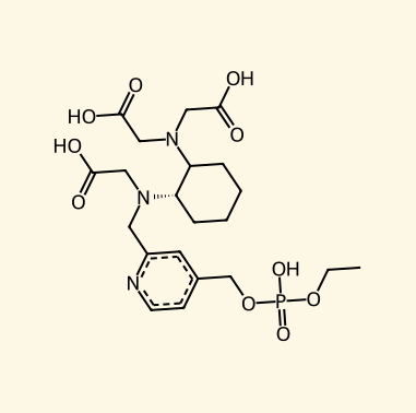 CCOP(=O)(O)OCc1ccnc(CN(CC(=O)O)[C@H]2CCCCC2N(CC(=O)O)CC(=O)O)c1